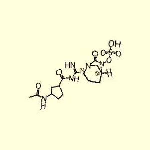 CC(=O)NC1CCC(C(=O)NC(=N)[C@@H]2CC[C@@H]3CN2C(=O)N3OS(=O)(=O)O)C1